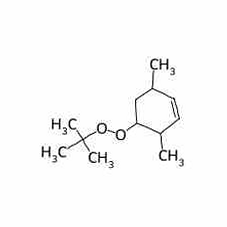 CC1C=CC(C)C(OOC(C)(C)C)C1